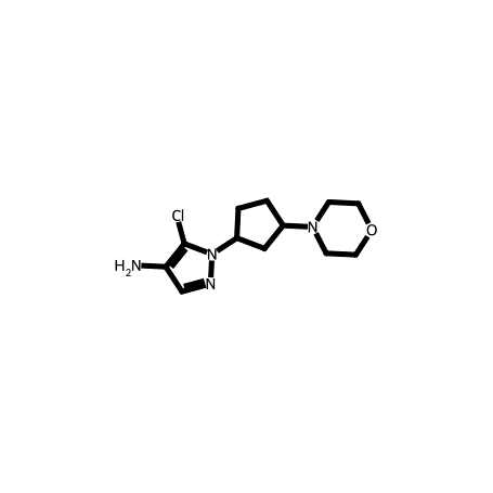 Nc1cnn(C2CCC(N3CCOCC3)C2)c1Cl